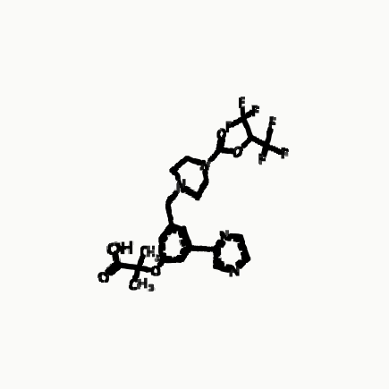 CC(C)(Oc1cc(CN2CCN(C(=O)OC(C(F)(F)F)C(F)(F)F)CC2)cc(-c2cnccn2)c1)C(=O)O